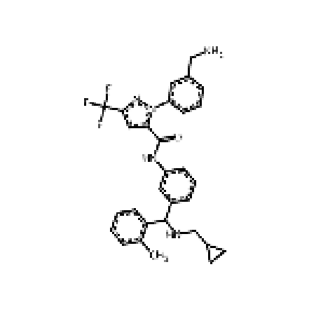 Cc1ccccc1C(NCC1CC1)c1cccc(NC(=O)c2cc(C(F)(F)F)nn2-c2cccc(CN)c2)c1